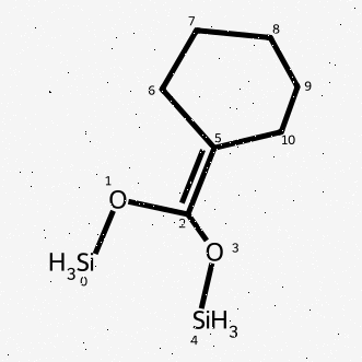 [SiH3]OC(O[SiH3])=C1CCCCC1